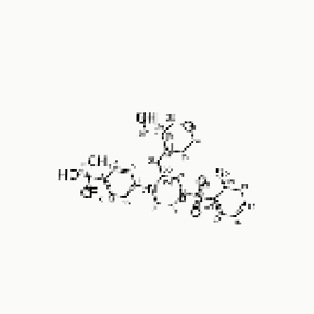 CC(O)(c1ccc(N2CCN(S(=O)(=O)C3=CC=CCC3=S)C[C@@H]2CN2CCOC[C@H]2CO)cc1)C(F)(F)F